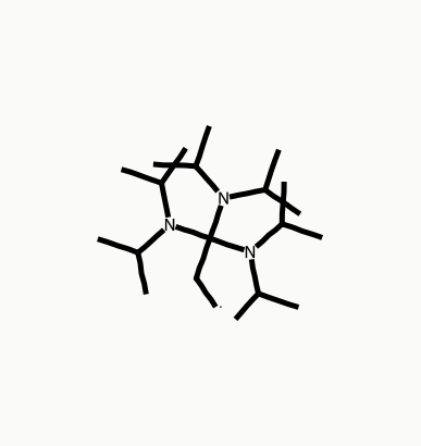 [CH2]CC(N(C(C)C)C(C)C)(N(C(C)C)C(C)C)N(C(C)C)C(C)C